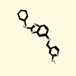 Nc1cc(COc2ccc3nc(NC4CCCCC4)sc3c2)ccn1